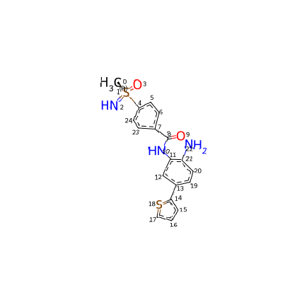 C[S@@](=N)(=O)c1ccc(C(=O)Nc2cc(-c3cccs3)ccc2N)cc1